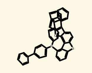 c1ccc(-c2ccc(N(c3ccc(-c4ccccc4)cc3)c3cccc4sc5ccc6c(oc7ccc8ccccc8c76)c5c34)cc2)cc1